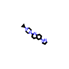 c1cnn(-c2ccc3nc(N4CCN(C5CC5)CC4)ccc3c2)c1